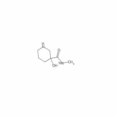 CNC(=O)C1(O)CCCNC1